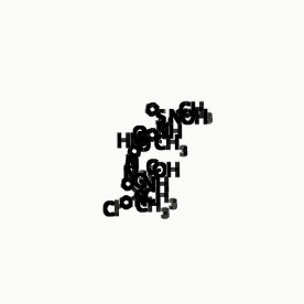 Cc1cc(S(=O)(=O)Nc2ccc(N3CCN(c4cccc(-c5c(C(=O)NC6CC(C)(O)C6)c(C)n(C)c5-c5ccc(Cl)cc5)c4)CC3)cc2)ccc1N[C@H](CCN1CC(C)(O)C1)CSc1ccccc1